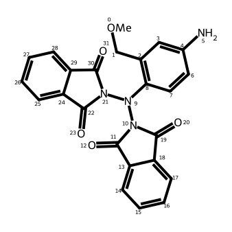 COCc1cc(N)ccc1N(N1C(=O)c2ccccc2C1=O)N1C(=O)c2ccccc2C1=O